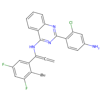 C=C=C(Nc1nc(-c2ccc(N)cc2Cl)nc2ccccc12)c1cc(F)cc(F)c1C(C)CC